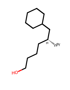 CCC[C@H](CCCCO)CC1CCCCC1